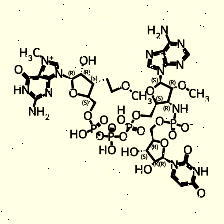 COCC[C@H]1[C@@H](O)[C@H](n2c[n+](C)c3c(=O)[nH]c(N)nc32)O[C@@H]1COP(=O)(O)OP(=O)(O)OP(=O)(O)OC[C@H]1O[C@@H](n2cnc3c(N)ncnc32)[C@H](OC)[C@@H]1NP(=O)([O-])OC[C@H]1O[C@@H](n2ccc(=O)[nH]c2=O)[C@H](O)[C@@H]1O